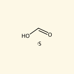 O=CO.[S]